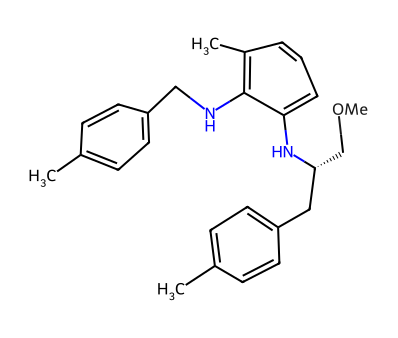 COC[C@H](Cc1ccc(C)cc1)Nc1cccc(C)c1NCc1ccc(C)cc1